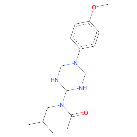 COc1ccc(N2CNC(N(CC(C)C)C(C)=O)NC2)cc1